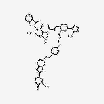 Cc1ncsc1-c1ccc(CNC(=O)[C@@H]2C[C@@H](O)CN2C(=O)[C@H](C(C)C)N2Cc3ccccc3C2=O)c(OCCOc2ccc(COc3ccc4nc(-c5ccc(=O)n(C)n5)oc4c3)nc2)c1